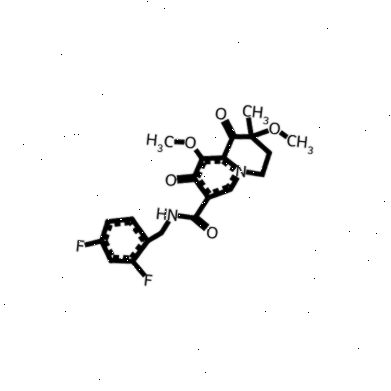 COc1c2n(cc(C(=O)NCc3ccc(F)cc3F)c1=O)CCC(C)(OC)C2=O